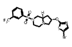 O=S(=O)(c1cccc(C(F)(F)F)c1)N1CCN2C[C@H](Oc3ncc(Br)s3)C[C@H]2C1